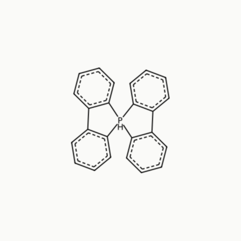 c1ccc2c(c1)-c1ccccc1[PH]21c2ccccc2-c2ccccc21